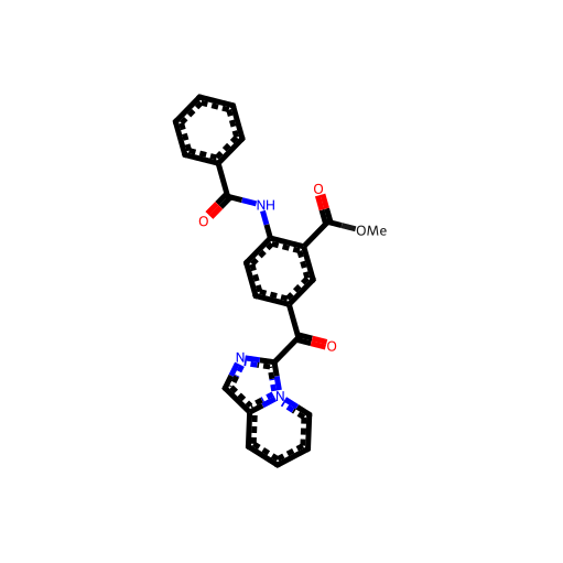 COC(=O)c1cc(C(=O)c2ncc3ccccn23)ccc1NC(=O)c1ccccc1